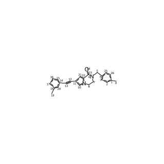 Cc1ccc(CN2CCn3cc(C#Cc4cccc(C)c4)cc3C2=O)cc1